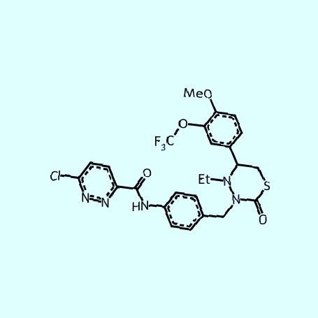 CCN1C(c2ccc(OC)c(OC(F)(F)F)c2)CSC(=O)N1Cc1ccc(NC(=O)c2ccc(Cl)nn2)cc1